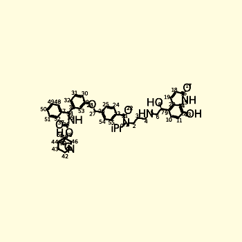 CC(C)N(CCCNC[C@H](O)c1ccc(O)c2[nH]c(=O)ccc12)C(=O)c1ccc(COc2cccc(C(NC(=O)O[C@H]3CN4CCC3CC4)c3ccccc3)c2)cc1